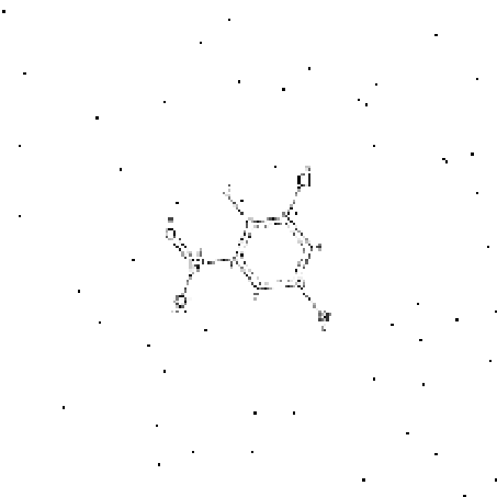 Cc1c(Cl)cc(Br)cc1[N+](=O)[O-]